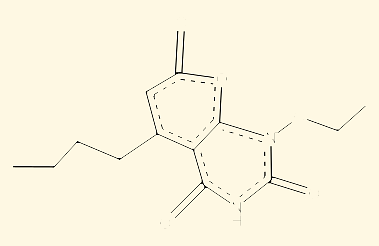 CCCCc1cc(=O)oc2c1c(=O)[nH]c(=O)n2OCC